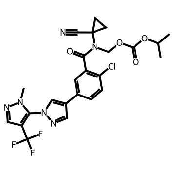 CC(C)OC(=O)OCN(C(=O)c1cc(-c2cnn(-c3c(C(F)(F)F)[c]nn3C)c2)ccc1Cl)C1(C#N)CC1